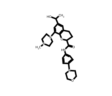 CC(O)c1cc2c(c(N3CCN(C)CC3)c1)OC(C(=O)Nc1ccc(N3CCOCC3)cc1)CC2